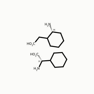 N[C@@H]1CCCCC1CC(=O)O.N[C@H](C(=O)O)C1CCCCC1